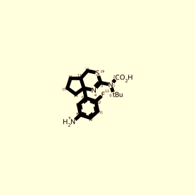 CC(C)(C)N(C(=O)O)C1=NC2(c3cc(N)ccc3F)CCCC2CS1